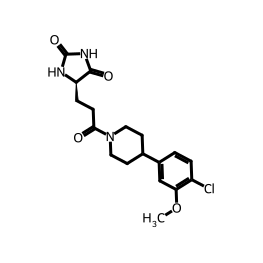 COc1cc(C2CCN(C(=O)CC[C@H]3NC(=O)NC3=O)CC2)ccc1Cl